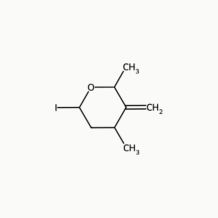 C=C1C(C)CC(I)OC1C